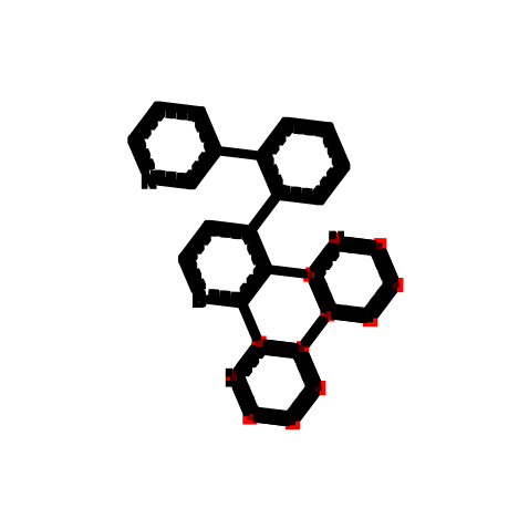 b1ccc(-c2ccccc2-c2cccnc2)c(-c2ccccc2-c2cccnc2)c1-c1ccccc1-c1cccnc1